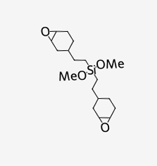 CO[Si](CCC1CCC2OC2C1)(CCC1CCC2OC2C1)OC